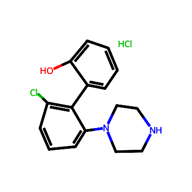 Cl.Oc1ccccc1-c1c(Cl)cccc1N1CCNCC1